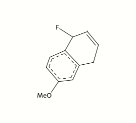 COc1ccc2c(c1)CC=[C]C2F